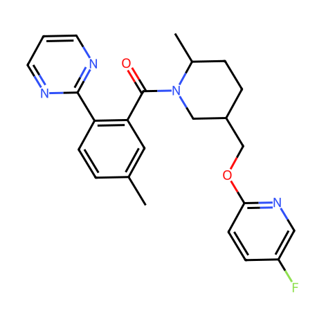 Cc1ccc(-c2ncccn2)c(C(=O)N2CC(COc3ccc(F)cn3)CCC2C)c1